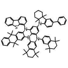 CC1(C)CCC(C)(C)c2cc(N3c4cc5c(cc4B4c6cc7c(cc6N(c6cccc8c6sc6ccccc68)c6cc(N8c9ccc(-c%10ccccc%10)cc9C9(C)CCCCC89C)cc3c64)C(C)(C)c3ccccc3C7(C)C)C(C)(C)CCC5(C)C)ccc21